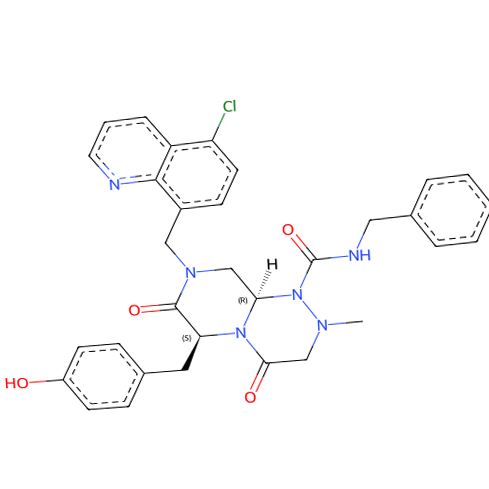 CN1CC(=O)N2[C@@H](CN(Cc3ccc(Cl)c4cccnc34)C(=O)[C@@H]2Cc2ccc(O)cc2)N1C(=O)NCc1ccccc1